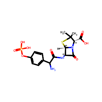 CC1(C)S[C@@H]2[C@H](NC(=O)C(N)c3ccc(OP(=O)(O)O)cc3)C(=O)N2[C@H]1C(=O)O